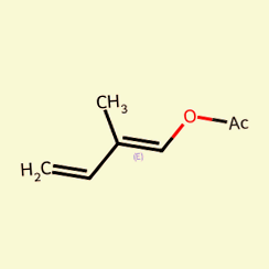 C=C/C(C)=C/OC(C)=O